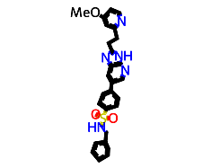 COc1ccnc(CCc2nc3cc(-c4ccc(S(=O)(=O)NCc5ccccc5)cc4)cnc3[nH]2)c1